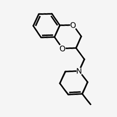 CC1=CCCN(CC2COc3ccccc3O2)C1